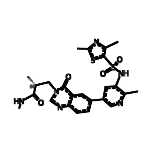 CNC(=O)[C@H](C)Cn1cnc2ccc(-c3cnc(C)c(NS(=O)(=O)c4sc(C)nc4C)c3)cc2c1=O